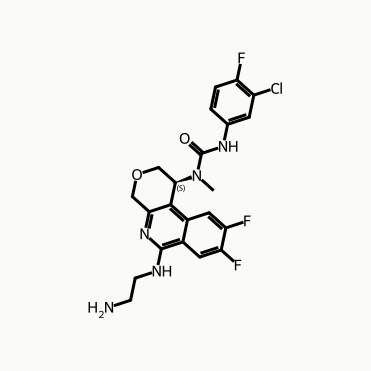 CN(C(=O)Nc1ccc(F)c(Cl)c1)[C@@H]1COCc2nc(NCCN)c3cc(F)c(F)cc3c21